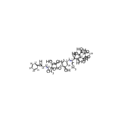 C/C(=C\c1ccc(O[C@@H]2O[C@H](/C(C)=C/CNc3ccccc3)[C@@H](O)[C@@H]2O)c(O)c1)C(=O)N[C@@H]1[C@H](O)[C@@H](O)[C@H]2OCO[C@H]2[C@@H]1O